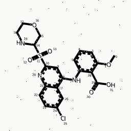 COc1cccc(Nc2cc(S(=O)(=O)C3COCCN3)nc3ccc(Cl)cc23)c1C(=O)O